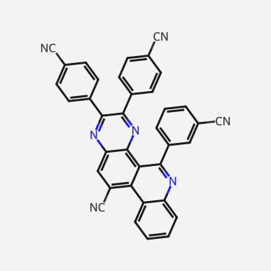 N#Cc1ccc(-c2nc3cc(C#N)c4c5ccccc5nc(-c5cccc(C#N)c5)c4c3nc2-c2ccc(C#N)cc2)cc1